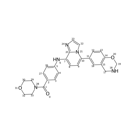 O=C(c1ccc(Nc2ccc(-c3ccc4c(c3)CNCO4)n3ccnc23)cc1)N1CCOCC1